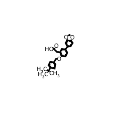 CC(C)(C)c1ccc(COc2ccc(-c3ccc4c(c3)OCO4)cc2CC(=O)O)cc1